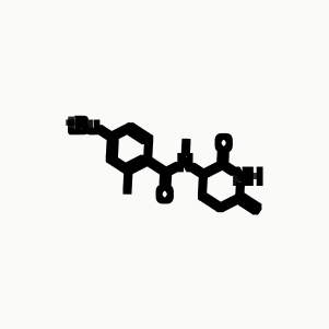 C=C1CCC(N(C)C(=O)c2ccc(C(C)(C)C)cc2C)C(=O)N1